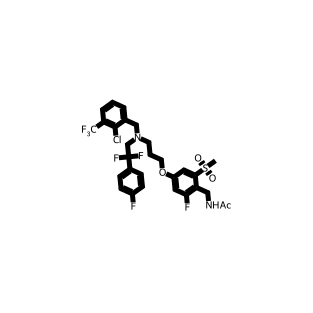 CC(=O)NCc1c(F)cc(OCCCN(Cc2cccc(C(F)(F)F)c2Cl)CC(F)(F)c2ccc(F)cc2)cc1S(C)(=O)=O